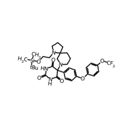 CC(C)(C)[Si](C)(C)OCCN1CCCC12CCCN(C1(c3ccc(Oc4ccc(OC(F)(F)F)cc4)cc3)C(=O)NC(=O)NC1=O)C2